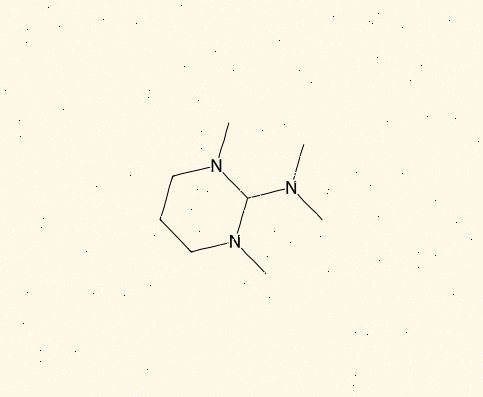 CN(C)C1N(C)CCCN1C